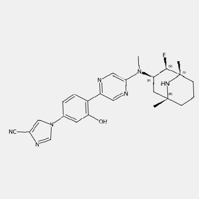 CN(c1cnc(-c2ccc(-n3cnc(C#N)c3)cc2O)cn1)[C@@H]1C[C@@]2(C)CCC[C@](C)(N2)[C@@H]1F